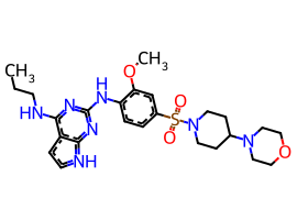 CCCNc1nc(Nc2ccc(S(=O)(=O)N3CCC(N4CCOCC4)CC3)cc2OC)nc2[nH]ccc12